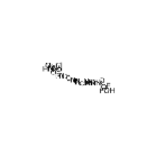 O=C1CCN(c2cc(C(=O)N3CCC4(CCC(N5CCN(c6ccc7cn(C8CCC(CNC(=O)c9cc(F)c(O)c(F)c9)CC8)nc7c6)CC5)CC4)CC3)ccc2Cl)C(=O)N1